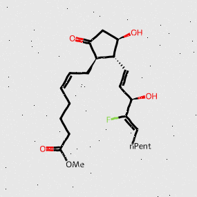 CCCCC/C=C(\F)[C@H](O)/C=C/[C@H]1[C@H](O)CC(=O)[C@@H]1C/C=C\CCCC(=O)OC